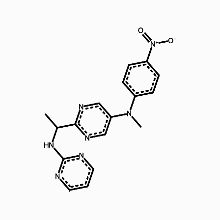 CC(Nc1n[c]ccn1)c1ncc(N(C)c2ccc([N+](=O)[O-])cc2)cn1